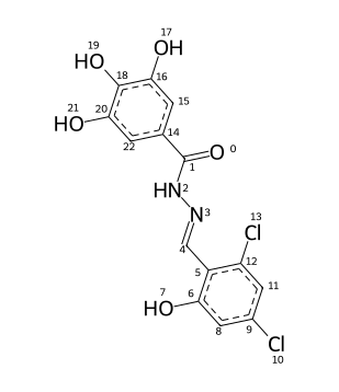 O=C(N/N=C/c1c(O)cc(Cl)cc1Cl)c1cc(O)c(O)c(O)c1